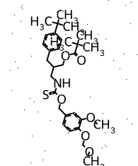 COCOc1ccc(COC(=S)NCC(COC(=O)C(C)(C)C)Cc2ccc(C(C)(C)C)cc2)cc1OC